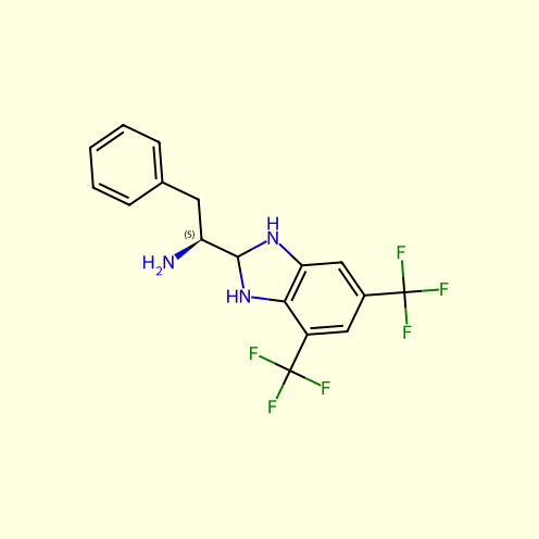 N[C@@H](Cc1ccccc1)C1Nc2cc(C(F)(F)F)cc(C(F)(F)F)c2N1